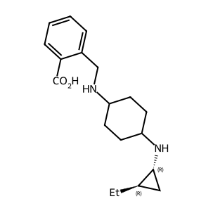 CC[C@@H]1C[C@H]1NC1CCC(NCc2ccccc2C(=O)O)CC1